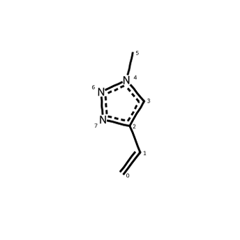 C=Cc1cn(C)nn1